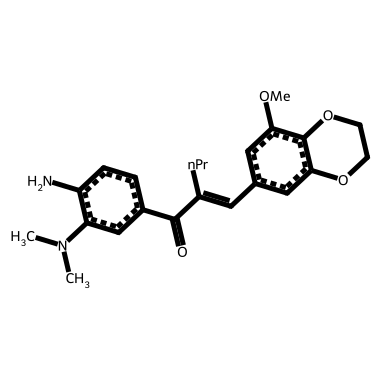 CCC/C(=C\c1cc(OC)c2c(c1)OCCO2)C(=O)c1ccc(N)c(N(C)C)c1